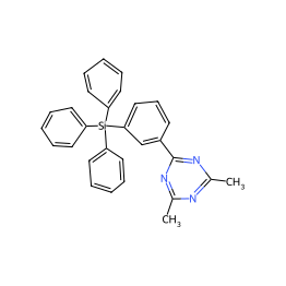 Cc1nc(C)nc(-c2cccc([Si](c3ccccc3)(c3ccccc3)c3ccccc3)c2)n1